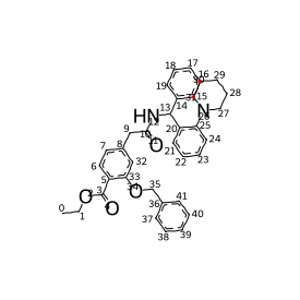 CCOC(=O)c1ccc(CC(=O)NC(c2ccccc2)c2ccccc2N2CCCCC2)cc1OCc1ccccc1